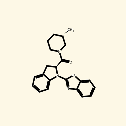 C[C@H]1CCCN(C(=O)[C@@H]2Cc3ccccc3N2c2nc3ccccc3o2)C1